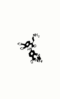 NCC[C@@H](C(=O)Nc1ccc2c(=O)[nH]cnc2c1)c1ccc(Cl)c(Cl)c1